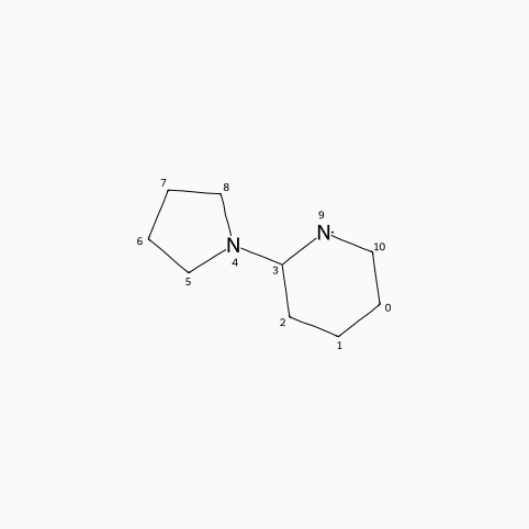 C1CCC(N2CCCC2)[N]C1